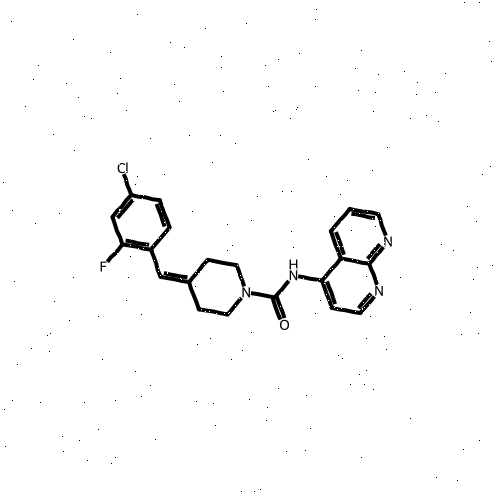 O=C(Nc1ccnc2ncccc12)N1CCC(=Cc2ccc(Cl)cc2F)CC1